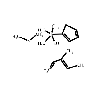 C=CC(C)=CC.CNC.[CH3][Ti]([CH3])([CH3])([CH3])[C]1=CC=CC1